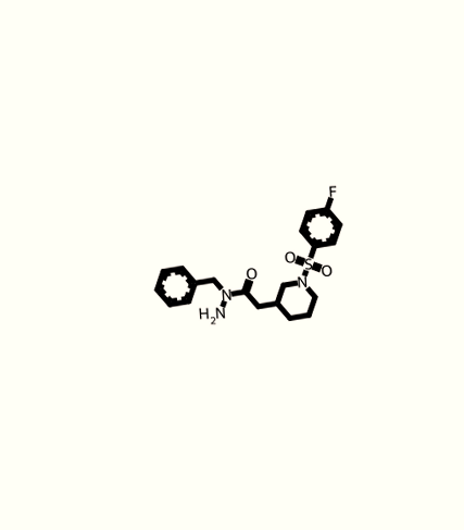 NN(Cc1ccccc1)C(=O)CC1CCCN(S(=O)(=O)c2ccc(F)cc2)C1